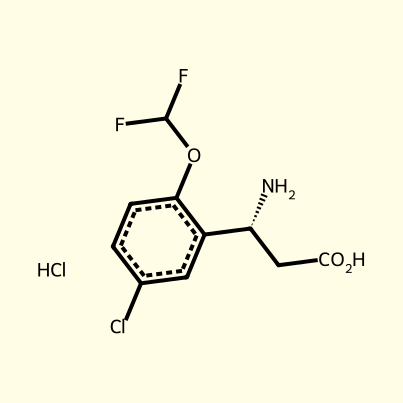 Cl.N[C@H](CC(=O)O)c1cc(Cl)ccc1OC(F)F